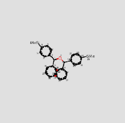 CSc1ccc(C(OC(c2ccccc2)c2ccc(SC)cc2)c2ccccc2)cc1